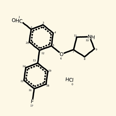 Cl.O=Cc1ccc(OC2CCNC2)c(-c2ccc(F)cc2)c1